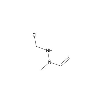 C=CN(C)NCCl